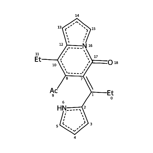 CC/C(c1ccc[nH]1)=c1/c(C(C)=O)c(CC)c2cccn2c1=O